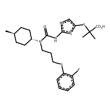 CC(C)(Sc1cnc(NC(=O)N(CCCSc2ccccc2F)[C@H]2CC[C@H](C)CC2)s1)C(=O)O